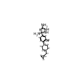 NC1=NC(N)(c2ccc(N3CCN(CC4CC4)CC3)c(F)c2)NN1